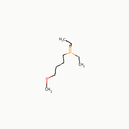 C/C=[PH](/CC)CCCCOC